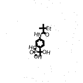 CCC(C)(C)C(=O)Nc1ccc(C(C)(O)P(=O)(O)O)cc1